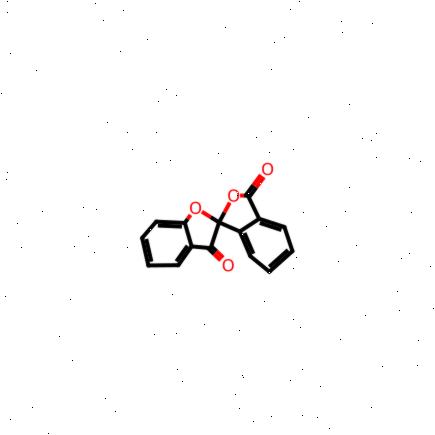 O=C1OC2(Oc3ccccc3C2=O)c2ccccc21